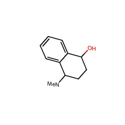 CNC1CCC(O)c2ccccc21